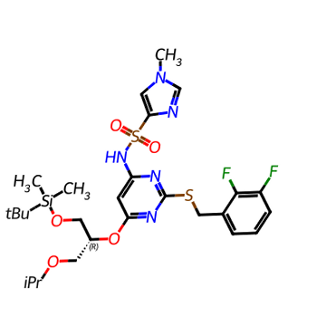 CC(C)OC[C@H](CO[Si](C)(C)C(C)(C)C)Oc1cc(NS(=O)(=O)c2cn(C)cn2)nc(SCc2cccc(F)c2F)n1